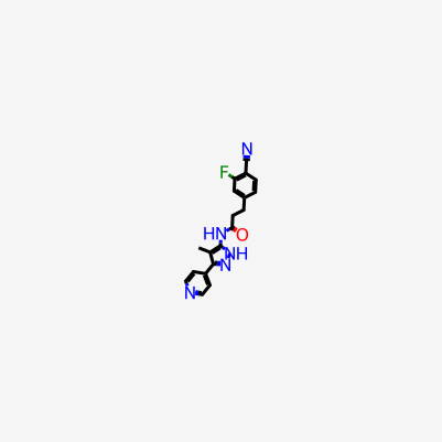 Cc1c(-c2ccncc2)n[nH]c1NC(=O)CCc1ccc(C#N)c(F)c1